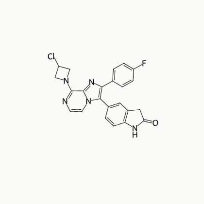 O=C1Cc2cc(-c3c(-c4ccc(F)cc4)nc4c(N5CC(Cl)C5)nccn34)ccc2N1